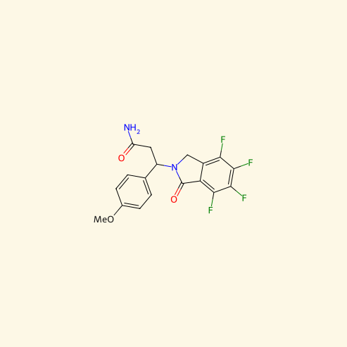 COc1ccc(C(CC(N)=O)N2Cc3c(F)c(F)c(F)c(F)c3C2=O)cc1